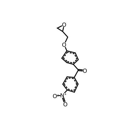 O=C(c1ccc(OCC2CO2)cc1)c1ccc([N+](=O)[O-])cc1